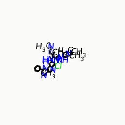 C=C(/C=C\C=N/C)[C@H](Nc1cc(Cl)c2ncc(C#N)c(N[C@H](C)c3ccccc3)c2c1)C1=CN(C2CCN(C(C)(C)C)CC2)NN1